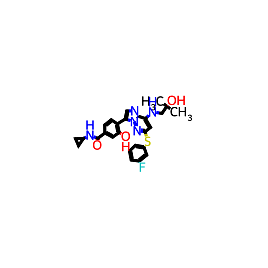 CC(C)(O)CNc1cc(Sc2cccc(F)c2)nn2c(-c3ccc(C(=O)NC4CC4)cc3O)cnc12